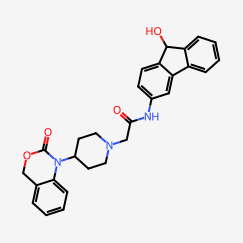 O=C(CN1CCC(N2C(=O)OCc3ccccc32)CC1)Nc1ccc2c(c1)-c1ccccc1C2O